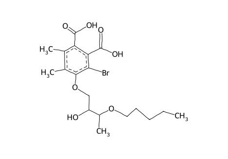 CCCCCOC(C)C(O)COc1c(C)c(C)c(C(=O)O)c(C(=O)O)c1Br